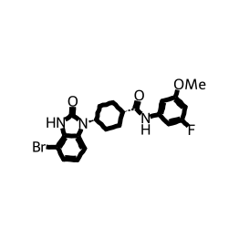 COc1cc(F)cc(NC(=O)[C@H]2CC[C@@H](n3c(=O)[nH]c4c(Br)cccc43)CC2)c1